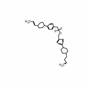 C=CCCC1CCC(c2ccc(COC(F)(F)Cc3ccc(C4CCC(C=CC)CC4)cc3)cc2)CC1